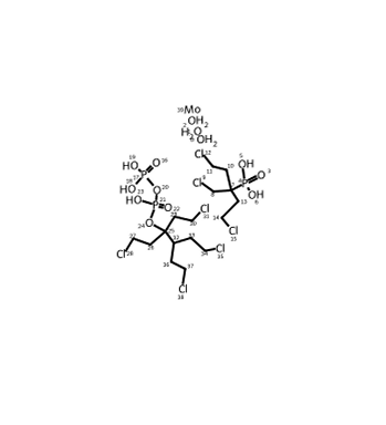 O.O.O.O=P(O)(O)C(CCl)(CCCl)CCCl.O=P(O)(O)OP(=O)(O)OC(CCCl)(CCCl)C(CCCl)CCCl.[Mo]